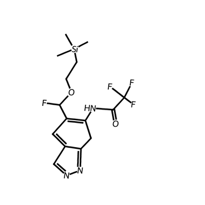 C[Si](C)(C)CCOC(F)C1=C(NC(=O)C(F)(F)F)CC2=NN=CC2=C1